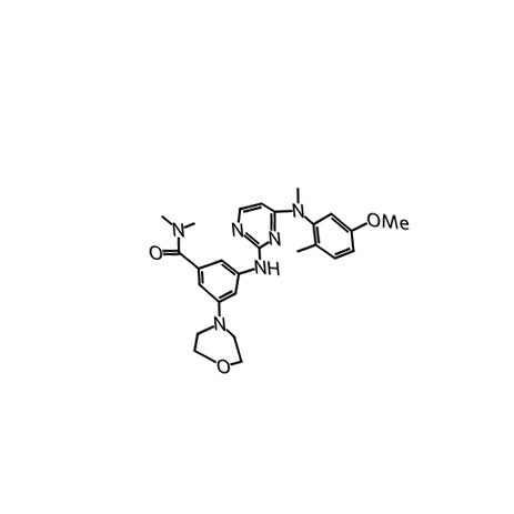 COc1ccc(C)c(N(C)c2ccnc(Nc3cc(C(=O)N(C)C)cc(N4CCOCC4)c3)n2)c1